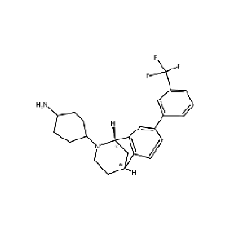 NC1CCC(N2CC[C@@H]3C[C@H]2c2cc(-c4cccc(C(F)(F)F)c4)ccc23)CC1